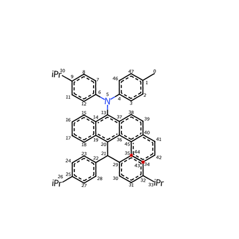 Cc1ccc(N(c2ccc(C(C)C)cc2)c2c3ccccc3c(C(c3ccc(C(C)C)cc3)c3ccc(C(C)C)cc3)c3c2ccc2ccccc23)cc1